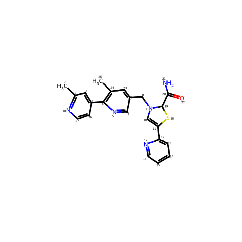 Cc1cc(-c2ncc(CN3C=C(c4ccccn4)SC3C(N)=O)cc2C)ccn1